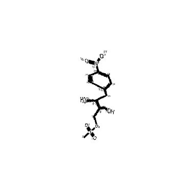 CS(=O)(=O)OCC(O)C(O)Cc1ccc([N+](=O)[O-])cc1